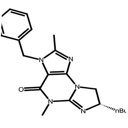 CCCC[C@H]1CN2C(=N1)N(C)C(=O)c1c2nc(C)n1Cc1ccccc1